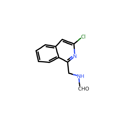 O=CNCc1nc(Cl)cc2ccccc12